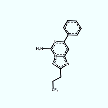 Nc1nc(-c2ccccc2)cc2nc(CCC(F)(F)F)nn12